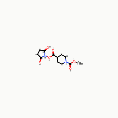 CCCCOC(=O)N1CCC(C(=O)ON2C(=O)CCC2=O)CC1